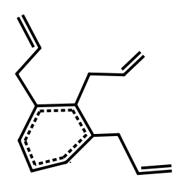 C=CCc1[c]ccc(CC=C)c1CC=C